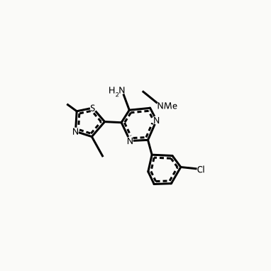 CNC.Cc1nc(C)c(-c2nc(-c3cccc(Cl)c3)ncc2N)s1